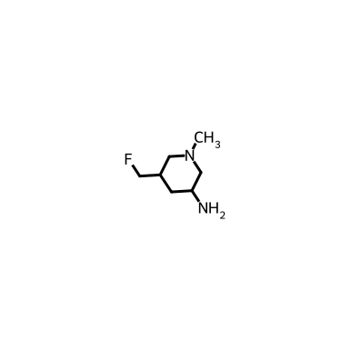 CN1CC(N)CC(CF)C1